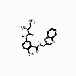 Cc1ccc(NC(=O)[C@@H](N)CN)cc1C(=O)NCc1cnc2ccccc2n1